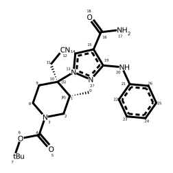 C[C@@H]1CN(C(=O)OC(C)(C)C)CC[C@@]1(CC#N)n1cc(C(N)=O)c(Nc2ccccc2)n1